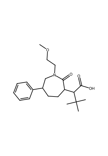 COCCN1CC(c2ccccc2)CCC(C(C(=O)O)C(C)(C)C)C1=O